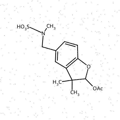 CC(=O)OC1Oc2ccc(CN(C)S(=O)(=O)O)cc2C1(C)C